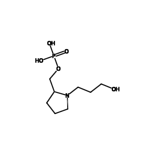 O=P(O)(O)OCC1CCCN1CCCO